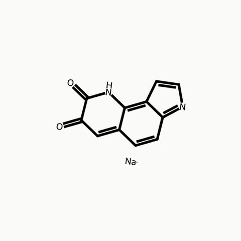 O=C1C=c2ccc3c(c2NC1=O)C=CN=3.[Na]